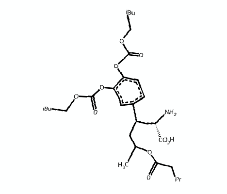 CCC(C)COC(=O)Oc1ccc(C(CC(C)OC(=O)CC(C)C)[C@H](N)C(=O)O)cc1OC(=O)OCC(C)CC